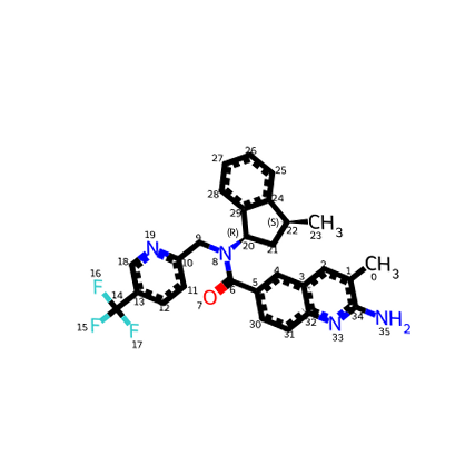 Cc1cc2cc(C(=O)N(Cc3ccc(C(F)(F)F)cn3)[C@@H]3C[C@H](C)c4ccccc43)ccc2nc1N